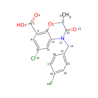 CC1Oc2c(C(=O)O)cc(Cl)cc2N(Cc2ccc(F)cc2)C1=O